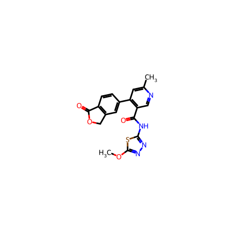 COc1nnc(NC(=O)c2cnc(C)cc2-c2ccc3c(c2)COC3=O)s1